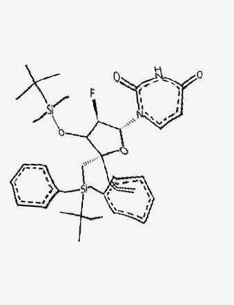 C=C[C@]1(C[Si](c2ccccc2)(c2ccccc2)C(C)(C)C)O[C@@H](n2ccc(=O)[nH]c2=O)[C@H](F)C1O[Si](C)(C)C(C)(C)C